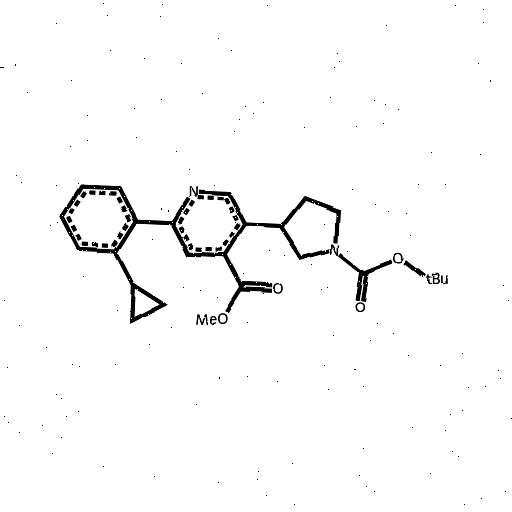 COC(=O)c1cc(-c2ccccc2C2CC2)ncc1C1CCN(C(=O)OC(C)(C)C)C1